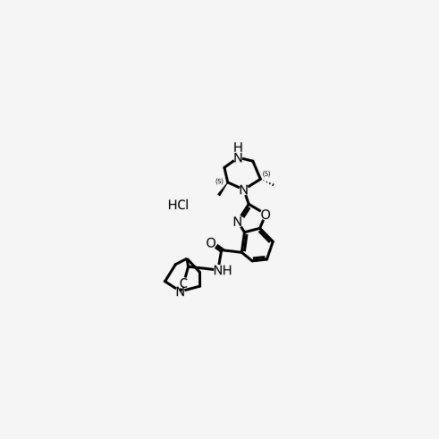 C[C@H]1CNC[C@H](C)N1c1nc2c(C(=O)NC3CN4CCC3CC4)cccc2o1.Cl